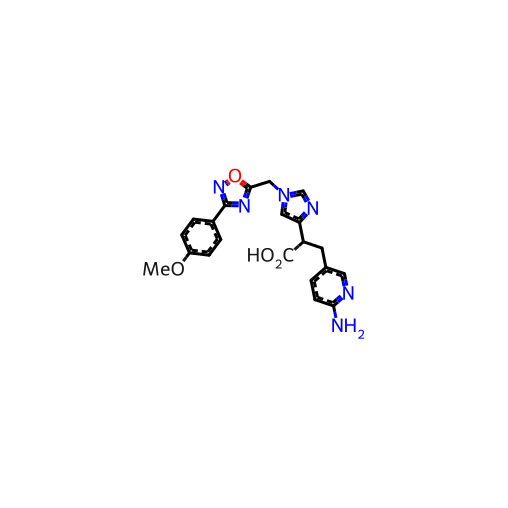 COc1ccc(-c2noc(Cn3cnc(C(Cc4ccc(N)nc4)C(=O)O)c3)n2)cc1